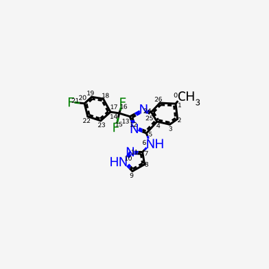 Cc1ccc2c(Nc3cc[nH]n3)nc(C(F)(F)c3ccc(F)cc3)nc2c1